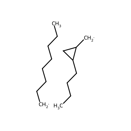 [CH2]C1CC1CCCC.[CH2]CCCCCCC